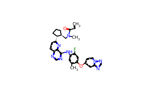 C=CC(=O)N(C)C[C@@H]1CCC[C@H]1c1ccc2ncnc(Nc3cc(C)c(Oc4ccn5ncnc5c4)cc3F)c2n1